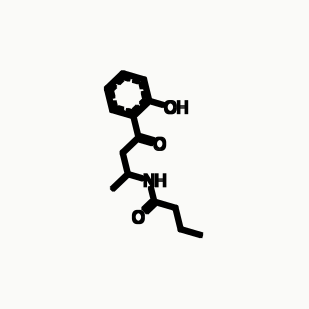 CCCC(=O)NC(C)CC(=O)c1ccccc1O